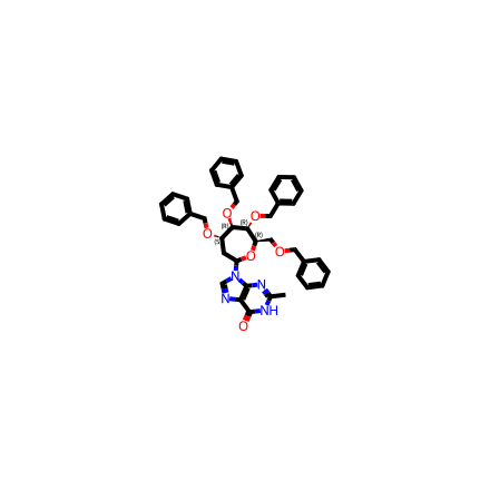 Cc1nc2c(ncn2C2C[C@H](OCc3ccccc3)[C@@H](OCc3ccccc3)[C@H](OCc3ccccc3)[C@@H](COCc3ccccc3)O2)c(=O)[nH]1